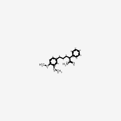 COc1ccc(CCCC(C(N)=O)c2ccccc2)cc1OC